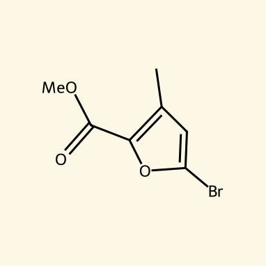 COC(=O)c1oc(Br)cc1C